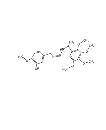 COc1ccc(C/N=N\NC(C)c2cc(OC)c(OC)c(OC)c2OC)cc1O